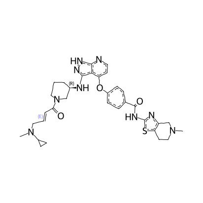 CN1CCc2sc(NC(=O)c3ccc(Oc4ccnc5[nH]nc(N[C@@H]6CCCN(C(=O)/C=C/CN(C)C7CC7)C6)c45)cc3)nc2C1